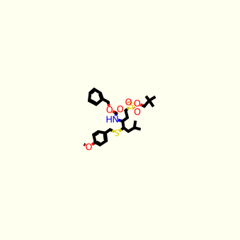 COc1ccc(CSC(CC(C)C)C(CCS(=O)(=O)OCC(C)(C)C)NC(=O)OCc2ccccc2)cc1